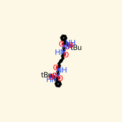 CC(C)(C)OC(=O)N[C@H](C(=O)NCCNC(=O)CCC#CCCC(=O)NCCNC(=O)[C@@H](NC(=O)OC(C)(C)C)c1ccccc1)c1ccccc1